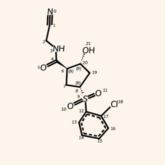 N#CCNC(=O)[C@@H]1C[C@@H](S(=O)(=O)c2ccccc2Cl)C[C@H]1O